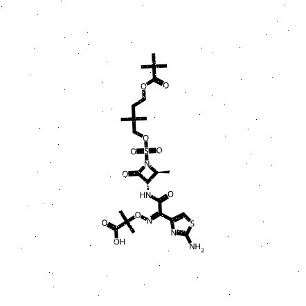 C[C@H]1[C@H](NC(=O)C(=NOC(C)(C)C(=O)O)c2csc(N)n2)C(=O)N1S(=O)(=O)OCC(C)(C)CCOC(=O)C(C)(C)C